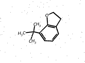 CC(C)(C)c1cccc2c1OCC2